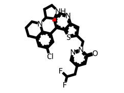 O=c1cc(CC(F)F)cnn1Cc1cc2nccc(-c3cc(Cl)cc4c3N(C3CCNC3)CCC4)c2s1